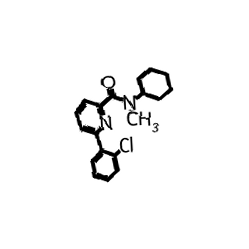 CN(C(=O)c1cccc(-c2ccccc2Cl)n1)C1CCCCC1